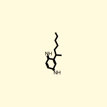 CCCCCC(C)C1=CC(=N)C=CC1=N